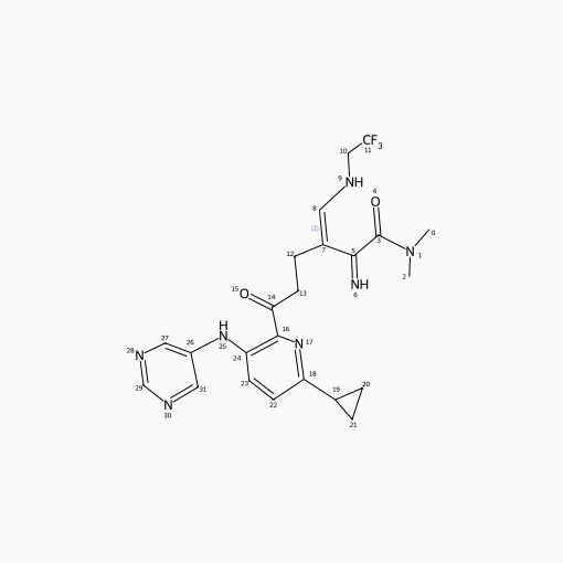 CN(C)C(=O)C(=N)/C(=C\NCC(F)(F)F)CCC(=O)c1nc(C2CC2)ccc1Nc1cncnc1